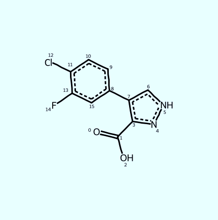 O=C(O)c1n[nH]cc1-c1ccc(Cl)c(F)c1